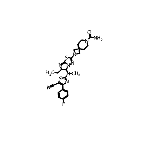 CCC1N=C2SC(N3CC4(CCN(C(N)=O)CC4)C3)=NN2C1N(C)c1nc(-c2ccc(F)cc2)c(C#N)s1